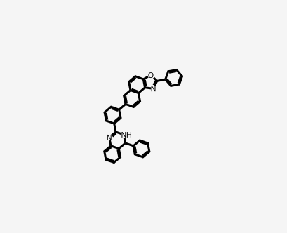 c1ccc(-c2nc3c(ccc4cc(-c5cccc(C6=Nc7ccccc7C(c7ccccc7)N6)c5)ccc43)o2)cc1